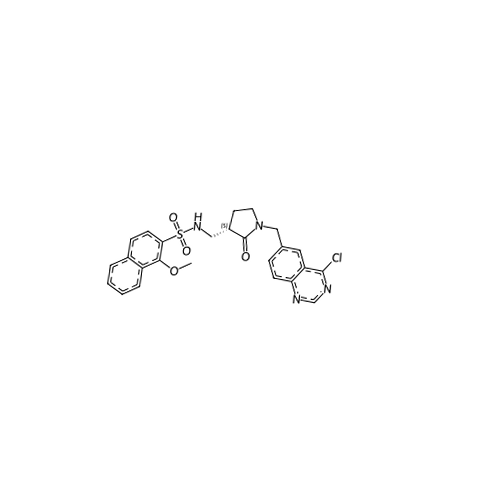 COc1c(S(=O)(=O)NC[C@@H]2CCN(Cc3ccc4ncnc(Cl)c4c3)C2=O)ccc2ccccc12